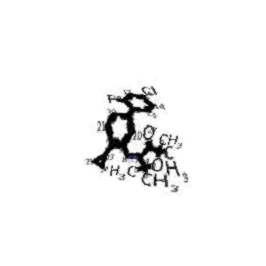 CC1(C)OC(C)(C)/C(=C/c2cc(-c3ccc(Cl)cc3F)ccc2C2CC2)C1=O